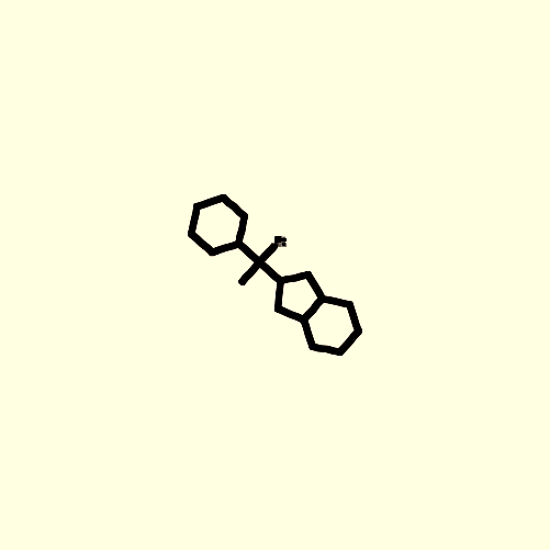 CCC(C)(C1CCCCC1)C1CC2CCCCC2C1